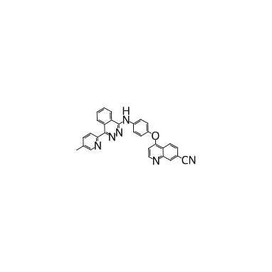 Cc1ccc(-c2nnc(Nc3ccc(Oc4ccnc5cc(C#N)ccc45)cc3)c3ccccc23)nc1